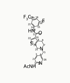 CC(=O)Nc1ccc(CN2CCc3c(C(=O)Nc4cc(F)cc(C(F)(F)F)c4)csc3C2)cn1